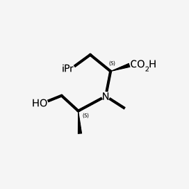 CC(C)C[C@@H](C(=O)O)N(C)[C@@H](C)CO